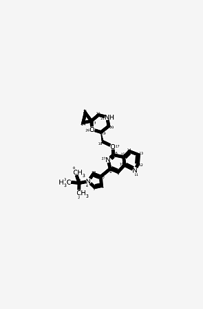 CC(C)(C)n1ccc(-c2cc3ncccc3c(OC[C@@H]3CNCC4(CC4)O3)n2)c1